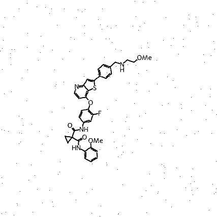 COCCNCc1ccc(-c2cc3nccc(Oc4ccc(NC(=O)C5(C(=O)Nc6ccccc6OC)CC5)cc4F)c3s2)cc1